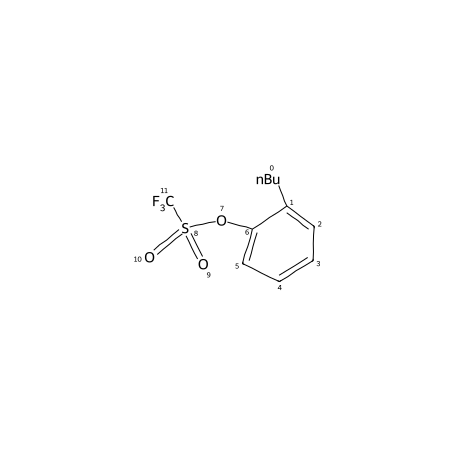 CCCCc1ccccc1OS(=O)(=O)C(F)(F)F